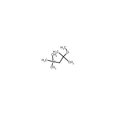 COC(C)(C)C[N+](C)(C)C